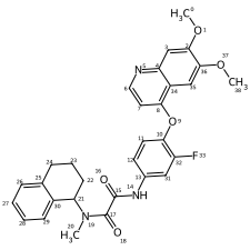 COc1cc2nccc(Oc3ccc(NC(=O)C(=O)N(C)C4CCCc5ccccc54)cc3F)c2cc1OC